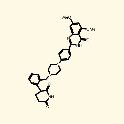 COc1cc(OC)c2c(=O)[nH]c(-c3ccc(N4CCN(Cc5ccccc5C5CCC(=O)NC5=O)CC4)cc3)nc2c1